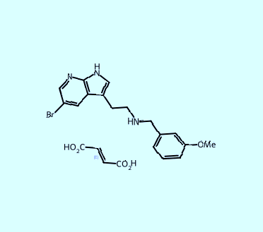 COc1cccc(CNCCc2c[nH]c3ncc(Br)cc23)c1.O=C(O)/C=C/C(=O)O